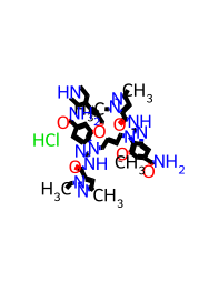 CCn1nc(C)cc1C(=O)Nc1nc2cc(C(N)=O)cc(OC)c2n1CC=CCn1c(NC(=O)c2cc(C)nn2CC)nc2cc(C(N)=O)cc(OCC#CC3CCNCC3)c21.Cl